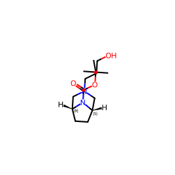 CC(C)(C)OC(=O)N1[C@@H]2CC[C@H]1CN(CCCO)C2